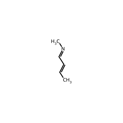 C/C=C/C=N/C